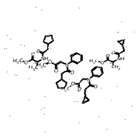 COC(=O)CN(C(=O)CC1CC1)c1ccccc1.COC(=O)CN(C(=O)CC1CCCC1)c1ccccc1.COC(=O)[C@H](C)NC(=O)CC1CC1.COC(=O)[C@H](C)NC(=O)CC1CCCC1